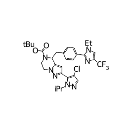 CCn1cc(C(F)(F)F)nc1-c1ccc(CC2c3cc(-c4c(Cl)cnn4C(C)C)nn3CCN2C(=O)OC(C)(C)C)cc1